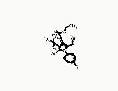 CCOC(=O)c1c(C(C)(C)C)c(Br)n(-c2ccc(F)cc2)c1CBr